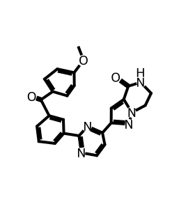 COc1ccc(C(=O)c2cccc(-c3nccc(-c4cc5n(n4)CCNC5=O)n3)c2)cc1